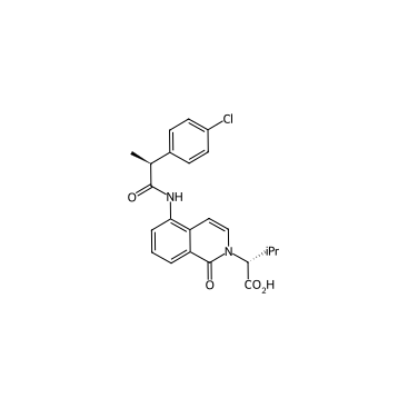 CC(C)[C@H](C(=O)O)n1ccc2c(NC(=O)[C@@H](C)c3ccc(Cl)cc3)cccc2c1=O